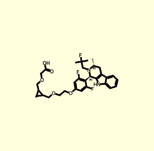 C[C@@H]1Cc2c([nH]c3ccccc23)[C@@H](c2c(F)cc(OCCOCC3CC3COCC(=O)O)cc2F)N1CC(C)(C)F